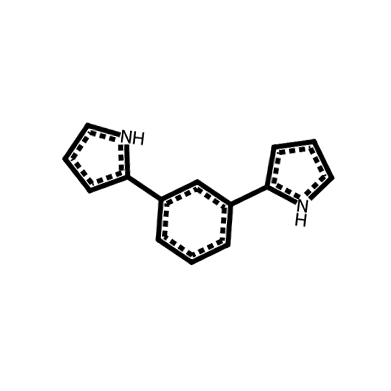 c1cc(-c2ccc[nH]2)cc(-c2ccc[nH]2)c1